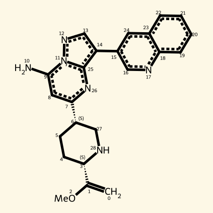 C=C(OC)[C@@H]1CC[C@H](c2cc(N)n3ncc(-c4cnc5ccccc5c4)c3n2)CN1